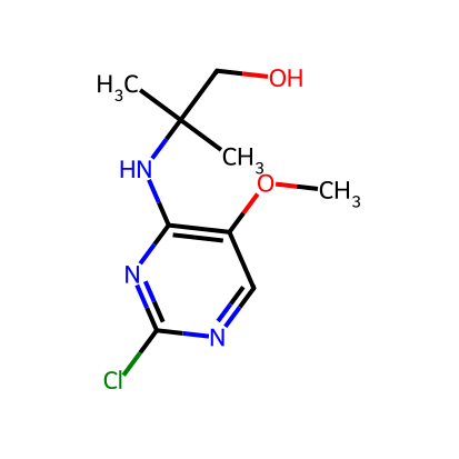 COc1cnc(Cl)nc1NC(C)(C)CO